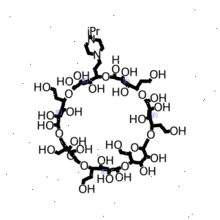 CC(C)N1CCN(CCC2OC(O)/C(O)=C(\O)C(CCO)OC(O)/C(O)=C(\O)C(CCO)OC3OC(CO)C(OC(O)/C(O)=C(\O)C(CCO)OC4OC(CO)C(OC(O)/C(O)=C(\O)C(CCO)OC(O)/C(O)=C/2O)C(O)C4O)C(O)C3O)CC1